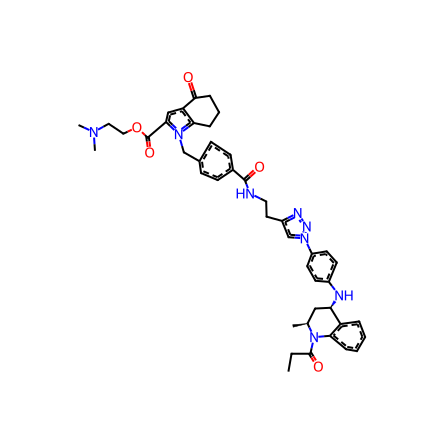 CCC(=O)N1c2ccccc2[C@H](Nc2ccc(-n3cc(CCNC(=O)c4ccc(Cn5c(C(=O)OCCN(C)C)cc6c5CCCC6=O)cc4)nn3)cc2)C[C@@H]1C